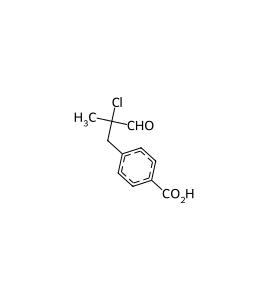 CC(Cl)(C=O)Cc1ccc(C(=O)O)cc1